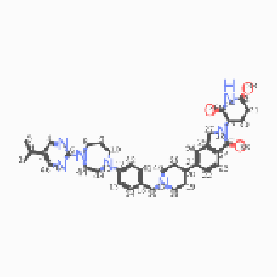 CC(C)c1cnc(N2CCCN(c3ccc(CN4CCC(c5ccc6c(c5)CN(C5CCC(=O)NC5=O)C6=O)CC4)cc3)CC2)nc1